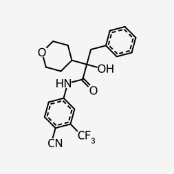 N#Cc1ccc(NC(=O)C(O)(Cc2ccccc2)C2CCOCC2)cc1C(F)(F)F